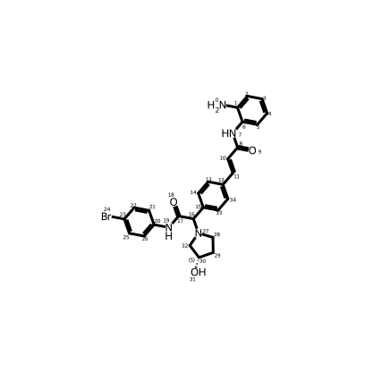 Nc1ccccc1NC(=O)C=Cc1ccc(C(C(=O)Nc2ccc(Br)cc2)N2CC[C@H](O)C2)cc1